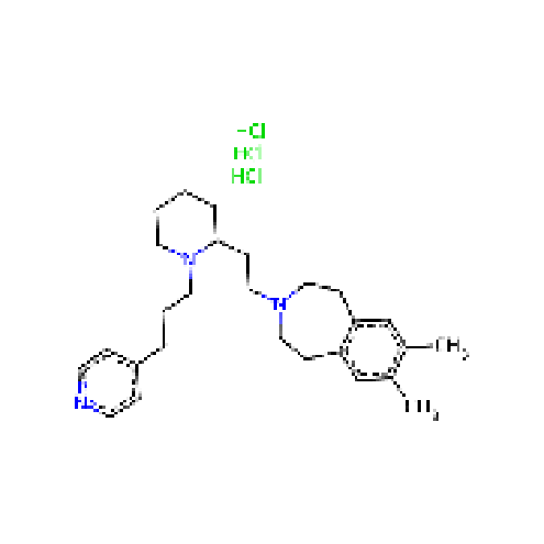 Cc1cc2c(cc1C)CCN(CCC1CCCCN1CCCc1ccncc1)CC2.Cl.Cl.Cl